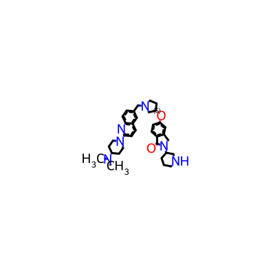 CN(C)C1CCN(c2ccc3cc(CN4CC[C@H](Oc5ccc6c(c5)CN(C5CCCNC5)C6=O)C4)ccc3n2)CC1